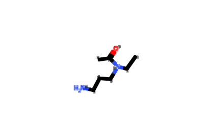 CCN(CCCN)C(C)=O